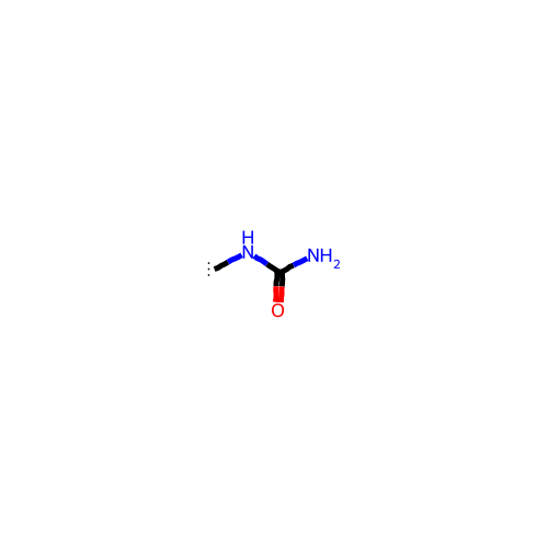 [C]NC(N)=O